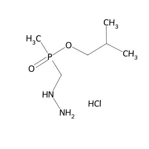 CC(C)COP(C)(=O)CNN.Cl